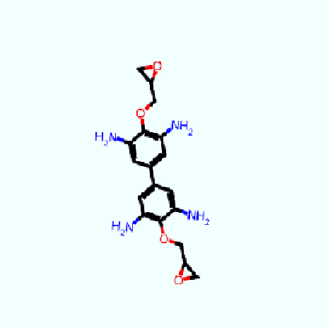 Nc1cc(-c2cc(N)c(OCC3CO3)c(N)c2)cc(N)c1OCC1CO1